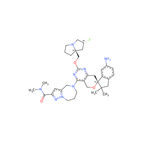 CN(C)C(=O)c1cc2n(n1)CCCN(c1nc(OC[C@@]34CCCN3C[C@H](F)C4)nc3c1CO[C@]1(C3)c3cc(N)ccc3CC1(C)C)C2